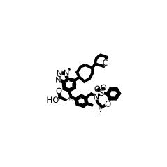 Cc1ccc([C@H](CC(=O)O)c2cc(C3CCCC(C4CCCCC4)CCC3)c3c(c2)nnn3C)cc1CN1C[C@@H](C)Oc2ccccc2S1(=O)=O